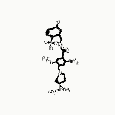 CCS(=O)(=O)c1ccc(Cl)cc1CNC(=O)c1cc(OC(F)(F)F)c(CN2CC[C@@H](NC(=O)O)C2)cc1N